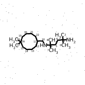 CC(C)(N)CCC(C)(C)NCC1CCCCC(C)(C)CCCC1